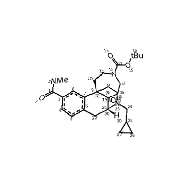 CNC(=O)c1ccc2c(c1)[C@@]13CCN(C(=O)OC(C)(C)C)CC[C@@]1(O)[C@@H](C2)N(CC1CC1)CC3